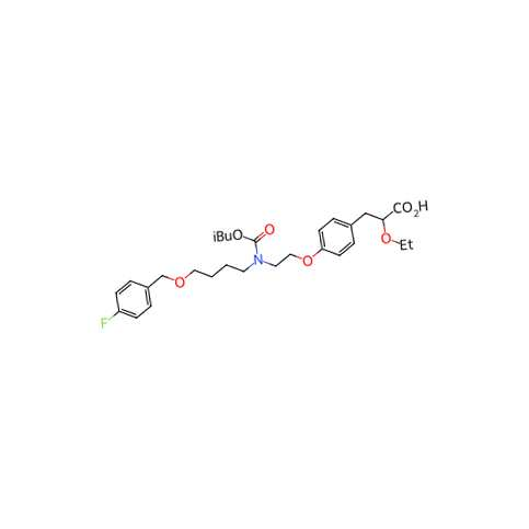 CCOC(Cc1ccc(OCCN(CCCCOCc2ccc(F)cc2)C(=O)OCC(C)C)cc1)C(=O)O